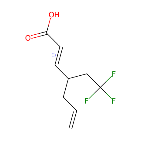 C=CCC(/C=C/C(=O)O)CC(F)(F)F